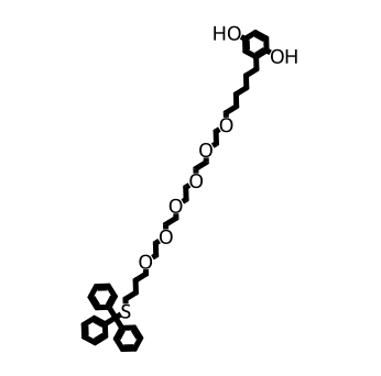 Oc1ccc(O)c(CCCCCCOCCOCCOCCOCCOCCOCCCCSC(c2ccccc2)(c2ccccc2)c2ccccc2)c1